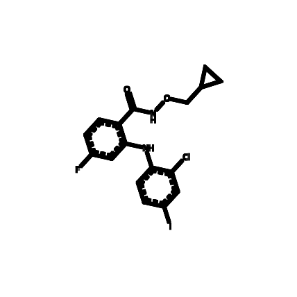 O=C(NOCC1CC1)c1ccc(F)cc1Nc1ccc(I)cc1Cl